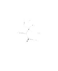 CC(=O)OC(=O)C(C(C)(C)C)C(O)(CC(=O)O)C(=O)O